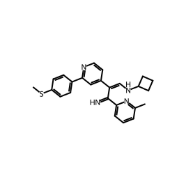 CSc1ccc(-c2cc(/C(=C/NC3CCC3)C(=N)c3cccc(C)n3)ccn2)cc1